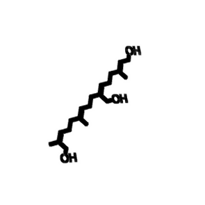 C/C(=C/CC/C(C)=C/CC/C(=C/CC/C(C)=C/CO)CO)CO